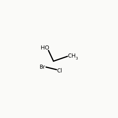 CCO.ClBr